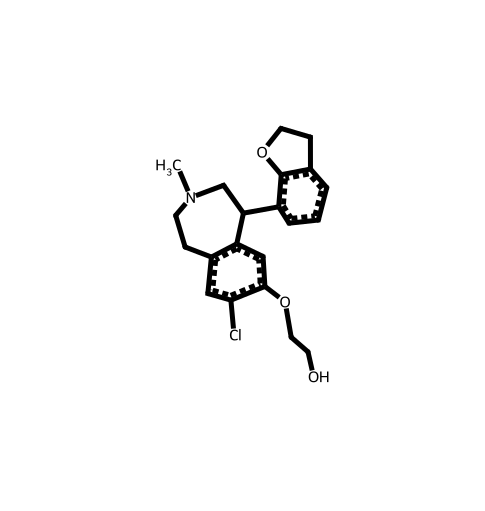 CN1CCc2cc(Cl)c(OCCO)cc2C(c2cccc3c2OCC3)C1